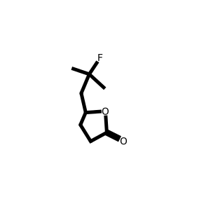 CC(C)(F)CC1CCC(=O)O1